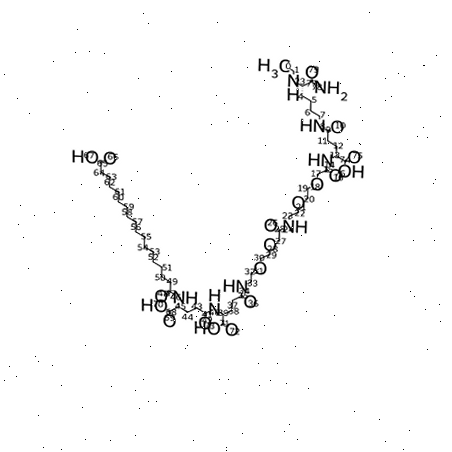 CCN[C@@H](CCCCNC(=O)CC[C@H](NC(=O)COCCOCCNC(=O)COCCOCCNC(=O)CC[C@H](NC(=O)CC[C@H](NC(=O)CCCCCCCCCCCCCCCCC(=O)O)C(=O)O)C(=O)O)C(=O)O)C(N)=O